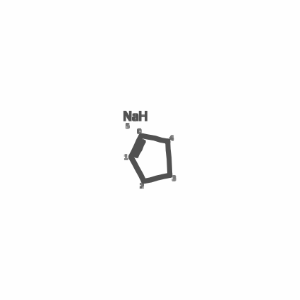 C1=CCCC1.[NaH]